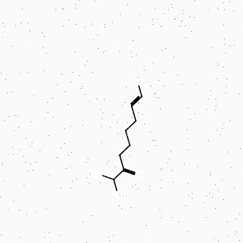 C/C=C/CCCCC(=O)C(C)C(C)(C)C